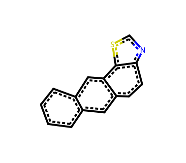 c1ccc2cc3c(ccc4ncsc43)cc2c1